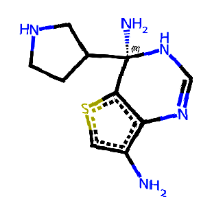 Nc1csc2c1N=CN[C@]2(N)C1CCNC1